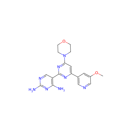 COc1cncc(-c2cc(N3CCOCC3)nc(-c3cnc(N)nc3N)n2)c1